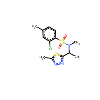 Cc1nnc(C(C)N(C)S(=O)(=O)c2ccc(C(F)(F)F)cc2Cl)s1